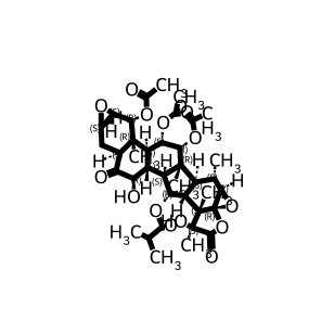 CC(=O)O[C@H]1[C@H]2[C@H]([C@@H]3[C@@H](OC(=O)C(C)C)[C@@H]4[C@H]([C@H](C)[C@H]5O[C@]56OC(=O)[C@@](C)(O)[C@]46C)[C@@]3(C)[C@H]1OC(C)=O)[C@@H](O)C(=O)[C@H]1C[C@@H]3O[C@@H]3[C@H](OC(C)=O)[C@]21C